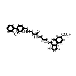 O=C(CCNCc1ccc(-c2ccccc2)c(Cl)c1)NCCCNc1nc2cc(C(=O)O)ccc2c2cn[nH]c12